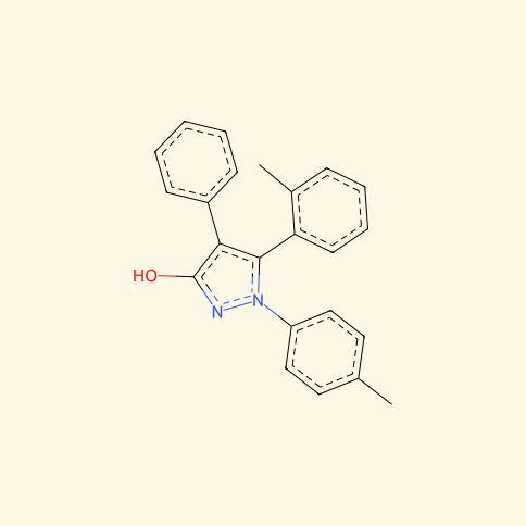 Cc1ccc(-n2nc(O)c(-c3ccccc3)c2-c2ccccc2C)cc1